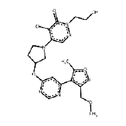 COCc1noc(C)c1-c1cc(OC2CCN(c3cnn(CCO)c(=O)c3Cl)C2)ncn1